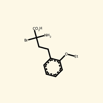 CCOc1ccccc1CCC(N)(Br)C(=O)O